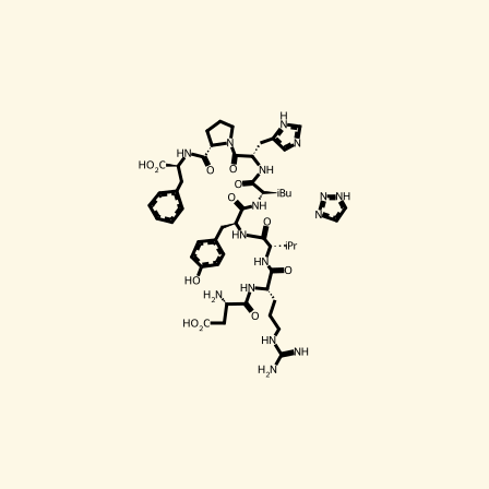 CC[C@H](C)[C@H](NC(=O)[C@H](Cc1ccc(O)cc1)NC(=O)[C@@H](NC(=O)[C@H](CCCNC(=N)N)NC(=O)[C@@H](N)CC(=O)O)C(C)C)C(=O)N[C@@H](Cc1cnc[nH]1)C(=O)N1CCC[C@H]1C(=O)N[C@@H](Cc1ccccc1)C(=O)O.c1c[nH]nn1